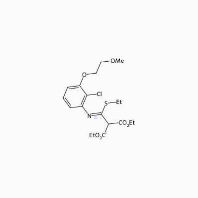 CCOC(=O)C(C(=O)OCC)/C(=N/c1cccc(OCCOC)c1Cl)SCC